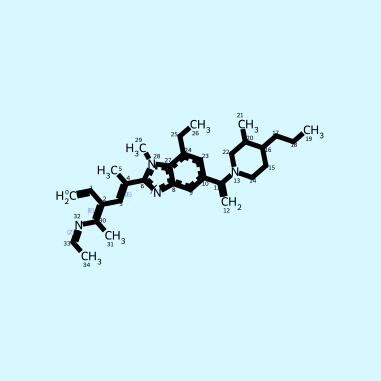 C=CC(/C=C(\C)c1nc2cc(C(=C)N3CCC(CCC)C(C)C3)cc(CC)c2n1C)=C(C)\N=C/C